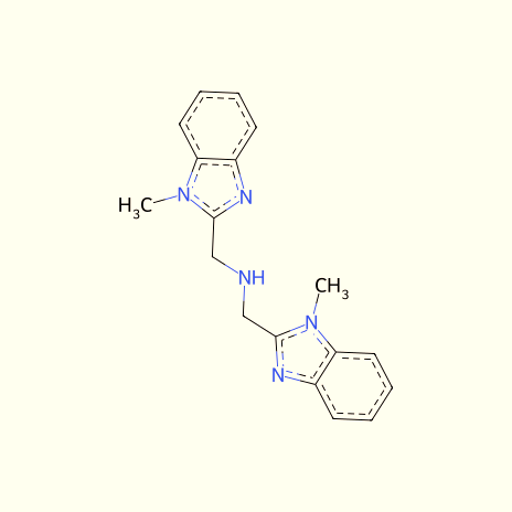 Cn1c(CNCc2nc3ccccc3n2C)nc2ccccc21